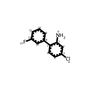 Nc1cc(Cl)ccc1-c1cc[c]c(F)c1